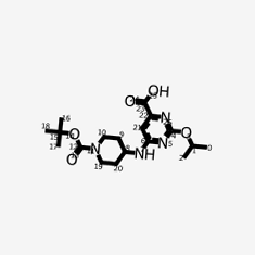 CC(C)Oc1nc(NC2CCN(C(=O)OC(C)(C)C)CC2)cc(C(=O)O)n1